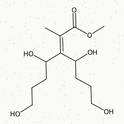 COC(=O)C(C)=C(C(O)CCCO)C(O)CCCO